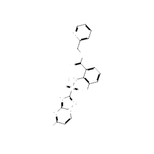 Cc1ccn2nc(S(=O)(=O)Nc3c(C)cccc3C(=O)OCc3ccccn3)nc2n1